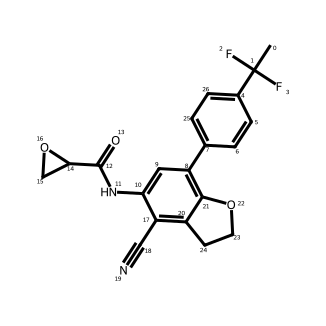 CC(F)(F)c1ccc(-c2cc(NC(=O)C3CO3)c(C#N)c3c2OCC3)cc1